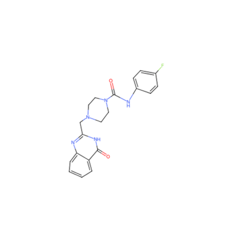 O=C(Nc1ccc(F)cc1)N1CCN(Cc2nc3ccccc3c(=O)[nH]2)CC1